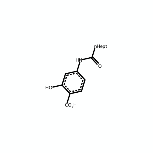 CCCCCCCC(=O)Nc1ccc(C(=O)O)c(O)c1